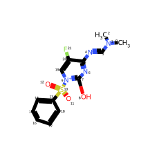 CN(C)/C=N/c1nc(O)[n+](S(=O)(=O)c2ccccc2)cc1F